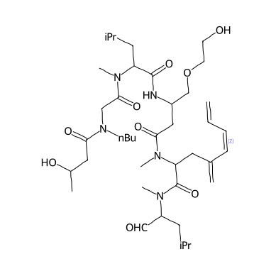 C=C/C=C\C(=C)CC(C(=O)N(C)C(C=O)CC(C)C)N(C)C(=O)CC(COCCO)NC(=O)C(CC(C)C)N(C)C(=O)CN(CCCC)C(=O)CC(C)O